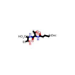 CCCCCCCCCCCCCC(=O)NC(C(=O)NC(C(=O)O)C(O)CC)C(C)O